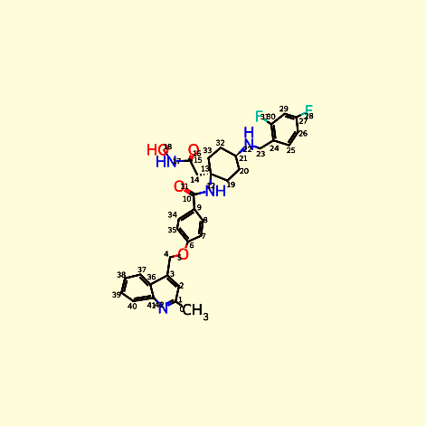 Cc1cc(COc2ccc(C(=O)N[C@]3(CC(=O)NO)CC[C@H](NCc4ccc(F)cc4F)CC3)cc2)c2ccccc2n1